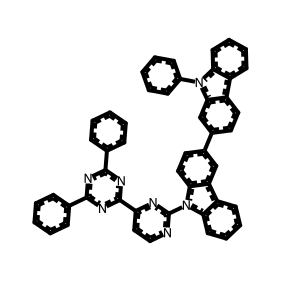 c1ccc(-c2nc(-c3ccccc3)nc(-c3ccnc(-n4c5ccccc5c5cc(-c6ccc7c8ccccc8n(-c8ccccc8)c7c6)ccc54)n3)n2)cc1